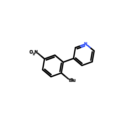 [CH2]C(C)(C)c1ccc([N+](=O)[O-])cc1-c1cccnc1